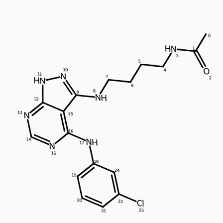 CC(=O)NCCCCNc1n[nH]c2ncnc(Nc3cccc(Cl)c3)c12